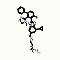 COCCNCc1cc(C2CC2)c2oc(-c3c(F)ccc(-c4ccccc4)c3-c3nncn3C)nc2c1